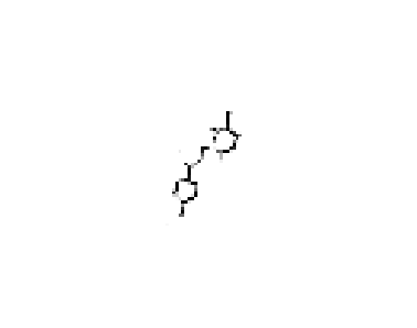 CCc1ccc(C(CCn2c(O)cc(C)c(C#N)c2=O)OC)cc1